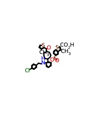 Cc1ccsc1C(=O)C1CCCC(c2ccccc2NCCc2ccc(Cl)cc2)C(OS(=O)c2ccc3sc(C(=O)O)c(C)c3c2)CC1